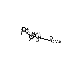 COC(=O)CCCCCNC(=O)c1c(C)nn2c(OCc3c(F)cccc3F)cc(C)cc12